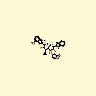 COc1cccc2[nH]c(C(=O)N[C@H](C(=O)N[C@@H](C[C@@H]3CCNC3=O)C(=O)c3nc4ccccc4s3)C3CC3)cc12